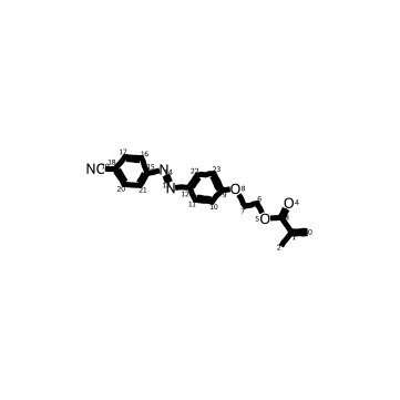 C=C(C)C(=O)OCCOc1ccc(N=Nc2ccc(C#N)cc2)cc1